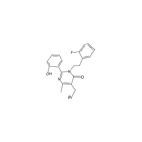 Cc1nc(-c2ccccc2O)n(CCc2ccccc2F)c(=O)c1CC(C)C